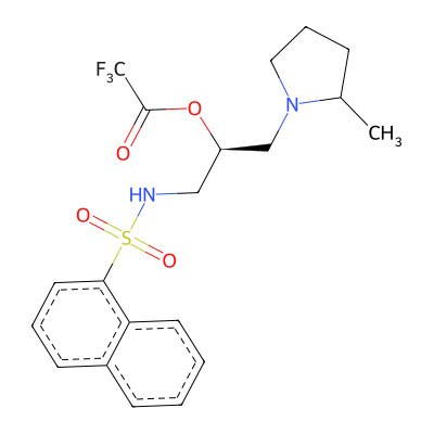 CC1CCCN1C[C@@H](CNS(=O)(=O)c1cccc2ccccc12)OC(=O)C(F)(F)F